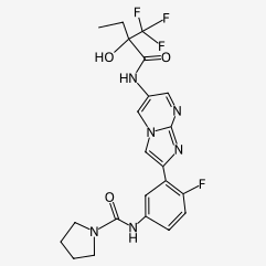 CCC(O)(C(=O)Nc1cnc2nc(-c3cc(NC(=O)N4CCCC4)ccc3F)cn2c1)C(F)(F)F